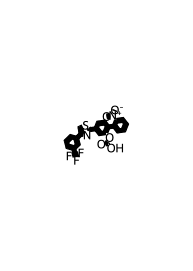 O=C(O)Oc1cc(-c2nc(-c3cccc(C(F)(F)F)c3)cs2)ccc1-c1ccccc1[N+](=O)[O-]